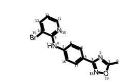 Cc1nc(-c2ccc(Nc3nc[c]cc3Br)cc2)no1